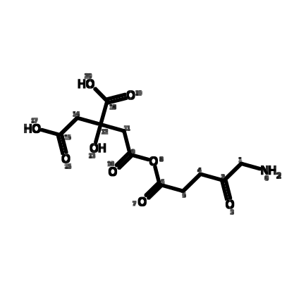 NCC(=O)CCC(=O)OC(=O)CC(O)(CC(=O)O)C(=O)O